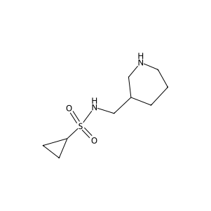 O=S(=O)(NCC1CCCNC1)C1CC1